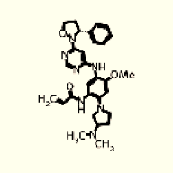 C=CC(=O)Nc1cc(Nc2cc(N3OCC[C@@H]3c3ccccc3)ncn2)c(OC)cc1N1CCC(N(C)C)C1